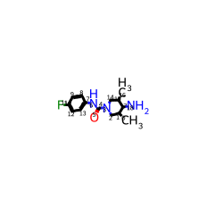 CC1CN(C(=O)Nc2ccc(F)cc2)CC(C)C1N